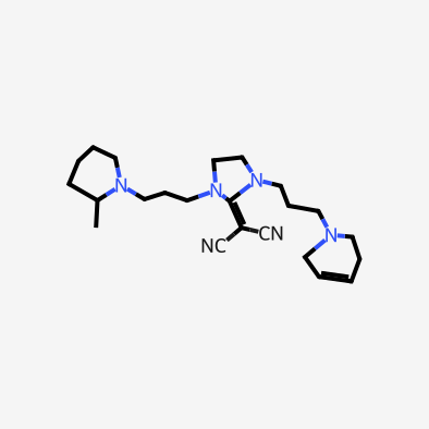 CC1CCCCN1CCCN1CCN(CCCN2CC=CCC2)C1=C(C#N)C#N